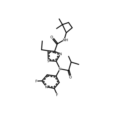 CCc1sc(N(C(=O)C(C)C)c2cc(F)nc(F)c2)nc1C(=O)NC1CCC1(C)C